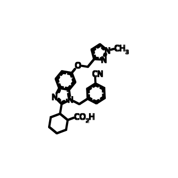 Cn1ccc(COc2ccc3nc(C4CCCCC4C(=O)O)n(Cc4cccc(C#N)c4)c3c2)n1